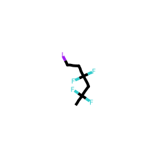 CC(F)(F)CC(F)(F)CCI